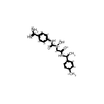 Cc1ccc(C(C)NC(=O)CN(O)C(=O)Nc2ccc(C(=N)N)cc2)cc1